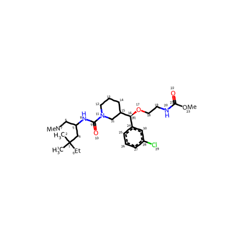 CCC(C)(C)CC(CNC)NC(=O)N1CCCC([C@@H](OCCNC(=O)OC)c2cccc(Cl)c2)C1